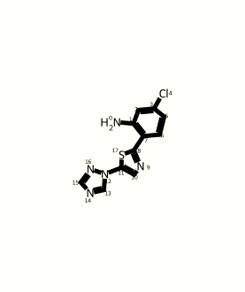 Nc1cc(Cl)ccc1-c1ncc(-n2cncn2)s1